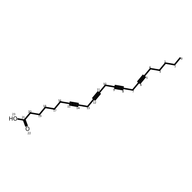 CCCCCC#CCC#CCC#CCC#CCCCCCC(=O)O